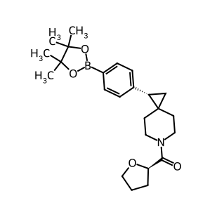 CC1(C)OB(c2ccc([C@@H]3CC34CCN(C(=O)[C@H]3CCCO3)CC4)cc2)OC1(C)C